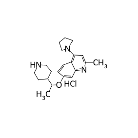 Cc1cc(N2CCCC2)c2ccc(OC(C)C3CCNCC3)cc2n1.Cl